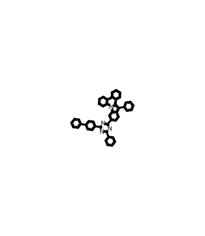 c1ccc(-c2ccc(-c3nc(-c4ccccc4)nc(-c4ccc5c(-c6ccccc6)c6c7ccccc7c7ccccc7n6c5c4)n3)cc2)cc1